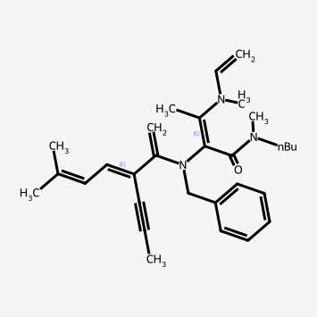 C=CN(C)/C(C)=C(\C(=O)N(C)CCCC)N(Cc1ccccc1)C(=C)/C(C#CC)=C/C=C(C)C